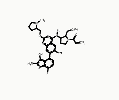 C=CC(=O)N1CCC(N(CC)c2nc(OCC3CCCN3C)nc3cc(-c4ccc(F)c5sc(N)c(C#N)c45)c(C#N)cc23)C1COC